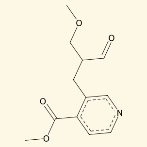 COCC(C=O)Cc1cnccc1C(=O)OC